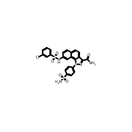 NC(=O)c1nn(-c2ccc(S(N)(=O)=O)cc2)c2c1ccc1ccc(NS(=O)(=O)c3cccc(Cl)c3)cc12